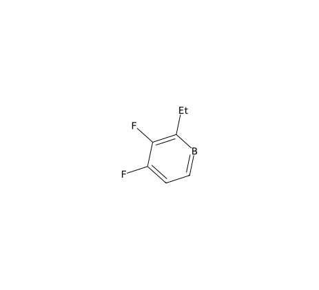 CCc1bccc(F)c1F